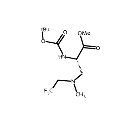 COC(=O)[C@H](CN(C)CC(F)(F)F)NC(=O)OC(C)(C)C